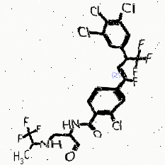 CC(NCC(C=O)NC(=O)c1ccc(/C(F)=C/C(c2cc(Cl)c(Cl)c(Cl)c2)C(F)(F)F)cc1Cl)C(F)(F)F